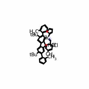 Cc1ccc(/[CH]=[Zr](/[C]2=CC=CC2)[c]2c3c(cc(C(C)(C)C)c2-c2ccccc2C)-c2cc(C(C)(C)C)c(-c4ccccc4C)cc2C3)cc1.Cl.Cl